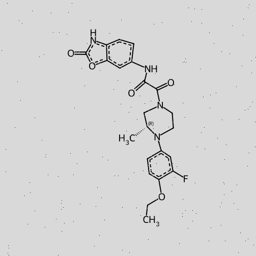 CCOc1ccc(N2CCN(C(=O)C(=O)Nc3ccc4[nH]c(=O)oc4c3)C[C@H]2C)cc1F